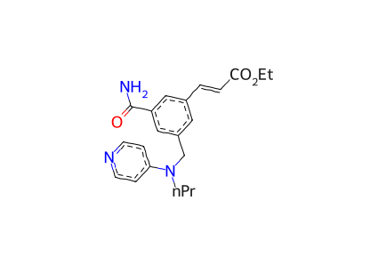 CCCN(Cc1cc(C=CC(=O)OCC)cc(C(N)=O)c1)c1ccncc1